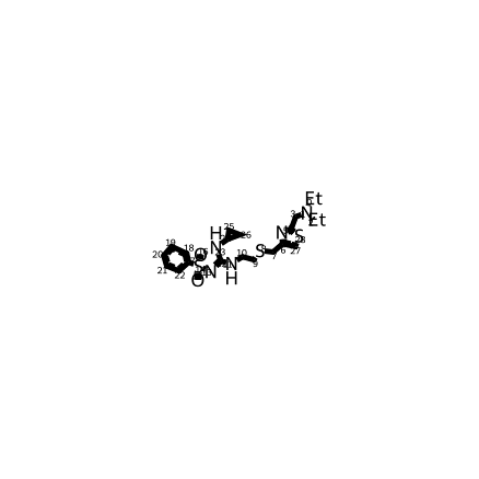 CCN(CC)Cc1nc(CSCCNC(=NS(=O)(=O)c2ccccc2)NC2CC2)cs1